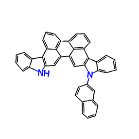 c1ccc2cc(-n3c4ccccc4c4c5cccc6c7cccc8c9c(cc(c(cc43)c65)c78)[nH]c3ccccc39)ccc2c1